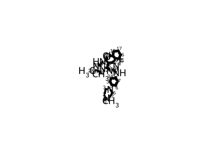 CN1CCN(c2ccc(Nc3nc(-c4c(F)cccc4Cl)c4c(n3)N3CC(C)(C)N=C3NC4=O)cc2)CC1